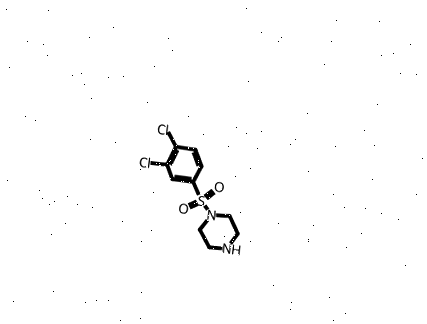 O=S(=O)(c1ccc(Cl)c(Cl)c1)N1CCNCC1